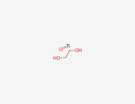 OCCO.[O]=[Ti]